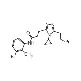 Cc1c(Br)cccc1NC(=O)CCc1nnc(CCC(C)C)n1C1CC1